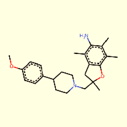 COc1ccc(C2CCN(CC3(C)Cc4c(C)c(N)c(C)c(C)c4O3)CC2)cc1